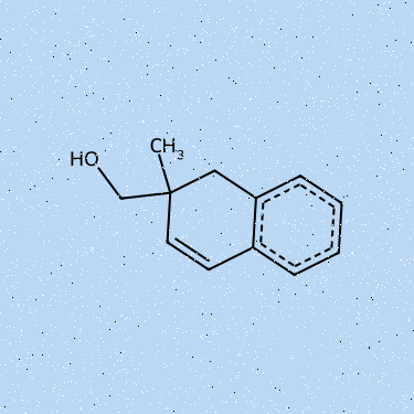 CC1(CO)C=Cc2ccccc2C1